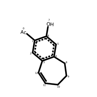 CC(=O)c1cc2c(cc1O)CCCC=C2